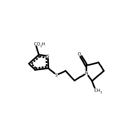 CC1CCC(=O)N1CCSc1ccc(C(=O)O)s1